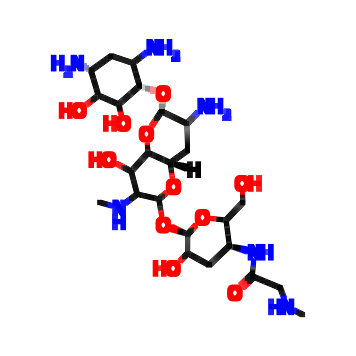 CNCC(=O)N[C@H]1CC(O)[C@@H](OC2O[C@H]3CC(N)[C@@H](O[C@H]4C(N)C[C@@H](N)C(O)C4O)OC3C(O)C2NC)OC1CO